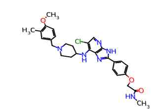 CNC(=O)COc1ccc(-c2nc3c(NC4CCN(Cc5ccc(OC)c(C)c5)CC4)c(Cl)cnc3[nH]2)cc1